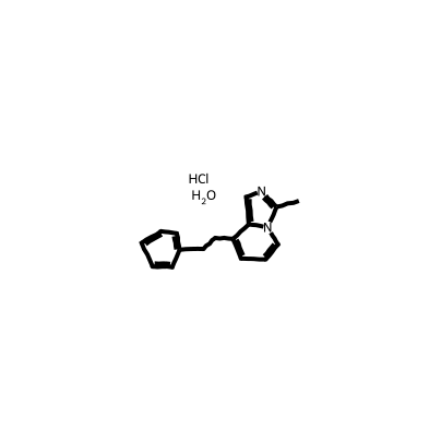 Cc1ncc2c(CCc3ccccc3)cccn12.Cl.O